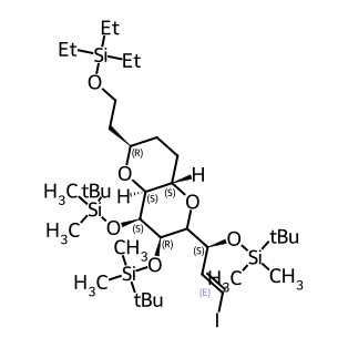 CC[Si](CC)(CC)OCC[C@H]1CC[C@@H]2OC([C@H](/C=C/I)O[Si](C)(C)C(C)(C)C)[C@@H](O[Si](C)(C)C(C)(C)C)[C@@H](O[Si](C)(C)C(C)(C)C)[C@H]2O1